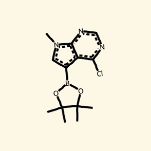 Cn1cc(B2OC(C)(C)C(C)(C)O2)c2c(Cl)ncnc21